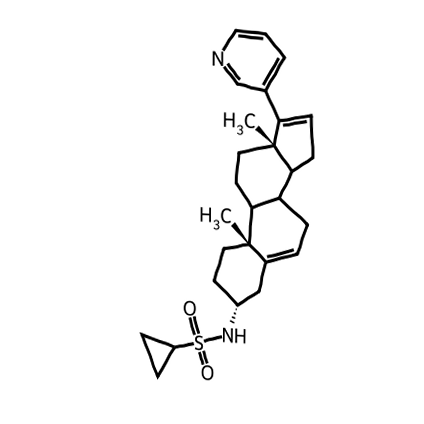 C[C@]12CC[C@@H](NS(=O)(=O)C3CC3)CC1=CCC1C2CC[C@]2(C)C(c3cccnc3)=CCC12